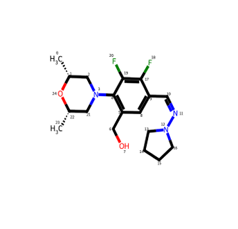 C[C@@H]1CN(c2c(CO)cc(/C=N\N3CCCC3)c(F)c2F)C[C@H](C)O1